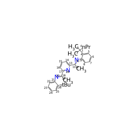 CCCC(C)(C)c1ccccc1/N=C(\C)c1cccc(/C(C)=N/c2ccccc2C(C)(C)C)n1